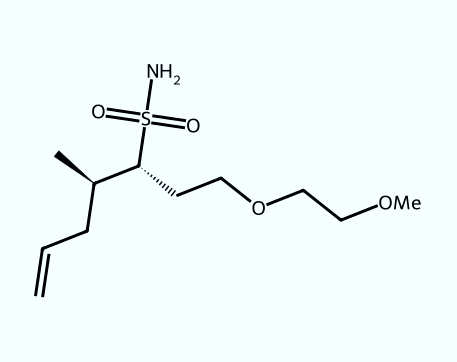 C=CC[C@@H](C)[C@@H](CCOCCOC)S(N)(=O)=O